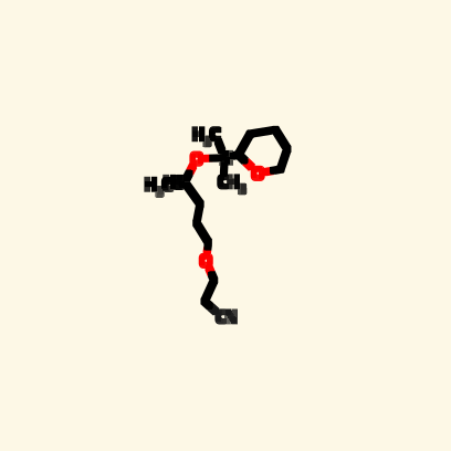 C[SiH](CCCOCCC#N)O[Si](C)(C)C1CCCCO1